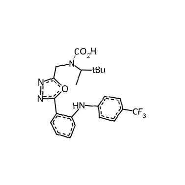 CC(N(Cc1nnc(-c2ccccc2Nc2ccc(C(F)(F)F)cc2)o1)C(=O)O)C(C)(C)C